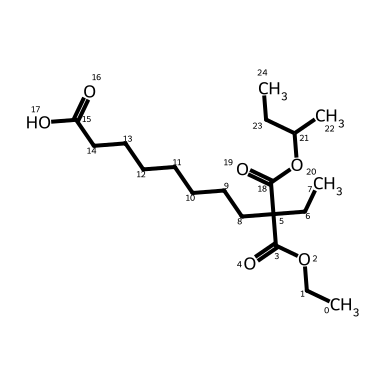 CCOC(=O)C(CC)(CCCCCCCC(=O)O)C(=O)OC(C)CC